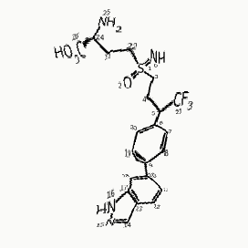 N=S(=O)(CCC(c1ccc(-c2ccc3cn[nH]c3c2)cc1)C(F)(F)F)CC[C@H](N)C(=O)O